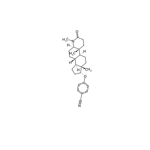 CN1C(=O)CC[C@]2(C)[C@H]3CC[C@]4(C)[C@H](Oc5ccc(C#N)cc5)CC[C@H]4[C@@H]3CC[C@@H]12